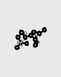 c1ccc(-c2ccc3c(c2)c2ccccc2n3-c2cc3oc4ccccc4c3cc2-c2cccc(-c3cccc4c3oc3cccc(-c5cccc(-c6nc(-c7ccccc7)nc(-c7ccccc7)n6)c5)c34)c2)cc1